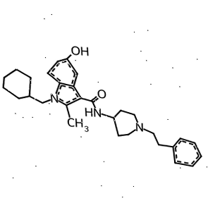 Cc1c(C(=O)NC2CCN(CCc3ccccc3)CC2)c2cc(O)ccc2n1CC1CCCCC1